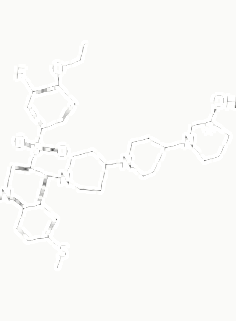 CCOc1ccc(S(=O)(=O)c2cnc3ccc(SC)cc3c2N2CCC(N3CCC(N4CCC[C@H](O)C4)CC3)CC2)cc1F